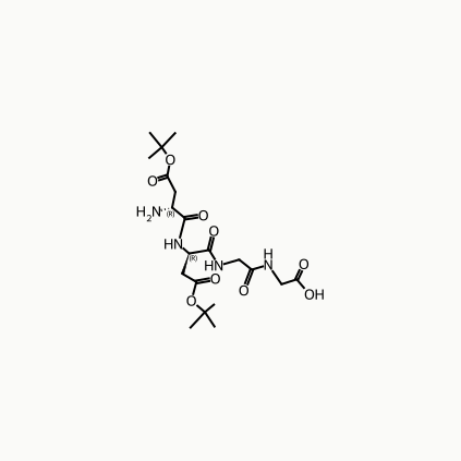 CC(C)(C)OC(=O)C[C@@H](N)C(=O)N[C@H](CC(=O)OC(C)(C)C)C(=O)NCC(=O)NCC(=O)O